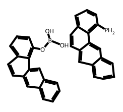 OB(O)Oc1cccc2ccc3cc4ccccc4cc3c12.Pc1cccc2ccc3cc4ccccc4cc3c12